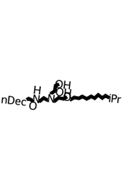 CCCCCCCCCCCC(=O)NCCCN(CCCOCCCCCCCCCCC(C)C)CC(O)CO